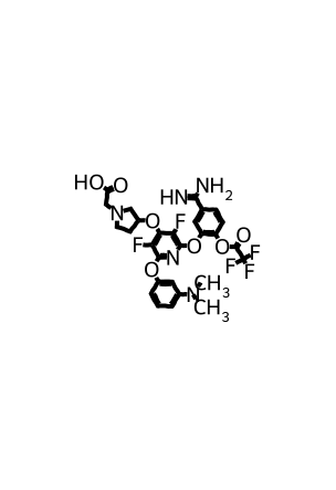 CN(C)c1cccc(Oc2nc(Oc3cc(C(=N)N)ccc3OC(=O)C(F)(F)F)c(F)c(OC3CCN(CC(=O)O)C3)c2F)c1